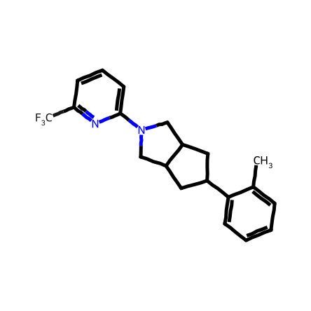 Cc1ccccc1C1CC2CN(c3cccc(C(F)(F)F)n3)CC2C1